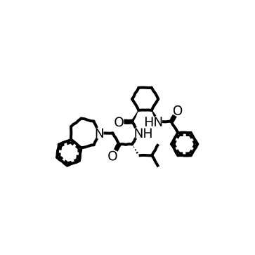 CC(C)C[C@@H](NC(=O)[C@H]1CCCC[C@H]1NC(=O)c1ccccc1)C(=O)CN1CCCc2ccccc2C1